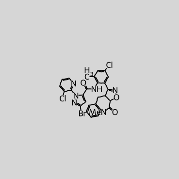 CNC(=O)C1ON=C(c2cc(Cl)cc(C)c2NC(=O)c2cc(Br)nn2-c2ncccc2Cl)C1Cc1ccccc1